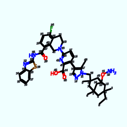 CCC1(C)CC2(C)CC(C)(Cn3ncc(-c4ccc(N5CCc6c(F)ccc(C(=O)Nc7nc8ccccc8s7)c6C5)nc4C(=O)O)c3C)CC(ON)(C1)C2